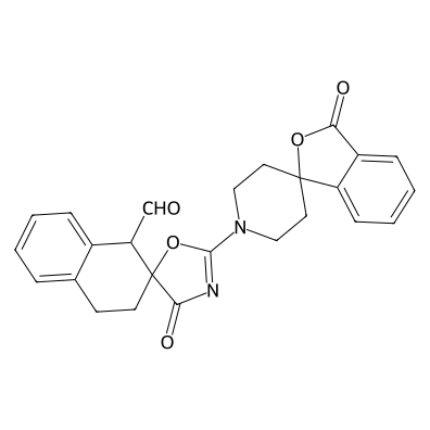 O=CC1c2ccccc2CCC12OC(N1CCC3(CC1)OC(=O)c1ccccc13)=NC2=O